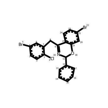 Clc1ccc(Br)cc1CC1=NC(c2ccccc2)Oc2cc(Br)ccc21